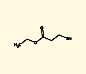 CCOC(=O)C[CH2][Sn]